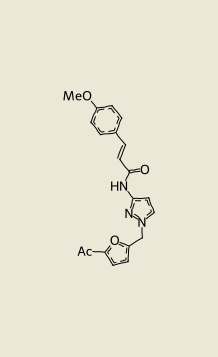 COc1ccc(/C=C/C(=O)Nc2ccn(Cc3ccc(C(C)=O)o3)n2)cc1